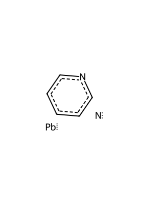 [N].[Pb].c1ccncc1